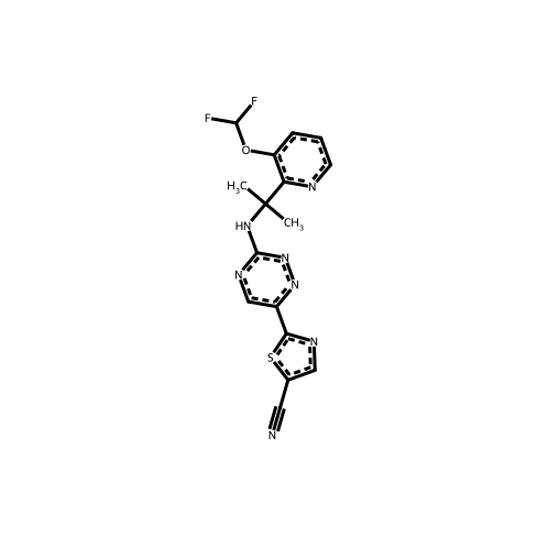 CC(C)(Nc1ncc(-c2ncc(C#N)s2)nn1)c1ncccc1OC(F)F